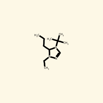 CCCC1N(CC)N=CN1C(C)(C)C